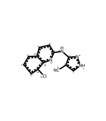 N#Cc1c[nH]nc1Nc1ccc2cccc(Cl)c2n1